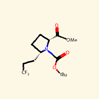 COC(=O)[C@H]1CC[C@@H](CCC(F)(F)F)N1C(=O)OC(C)(C)C